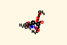 COCCOCOc1c(C=O)cc(CC(=O)OC)cc1-c1cccc(C(N)C(=O)OC(C)(C)C)c1